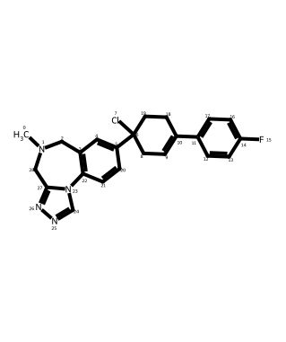 CN1Cc2cc(C3(Cl)CC=C(c4ccc(F)cc4)CC3)ccc2-n2cnnc2C1